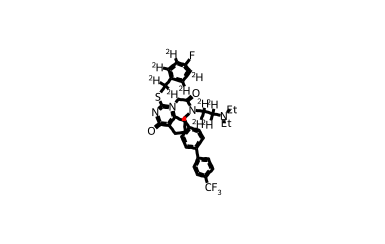 [2H]c1c([2H])c(C([2H])([2H])Sc2nc(=O)c3c(n2CC(=O)N(Cc2ccc(-c4ccc(C(F)(F)F)cc4)cc2)C([2H])([2H])C([2H])([2H])N(CC)CC)CCC3)c([2H])c([2H])c1F